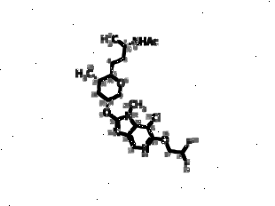 CC(=O)N[C@@H](C)CC[C@H]1OC[C@H](OC2=NC3=CN=C(OCC(F)F)C(Cl)C3N2C)C[C@@H]1C